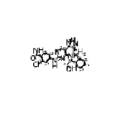 Cn1nnnc1-c1cnc(Nc2ccc(C(N)=O)c(Cl)c2)nc1N[C@H](CO)c1ccccc1